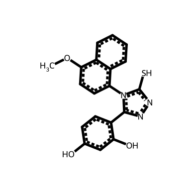 COc1ccc(-n2c(S)nnc2-c2ccc(O)cc2O)c2ccccc12